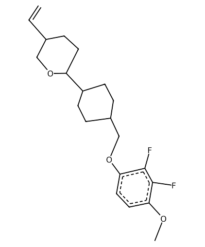 C=CC1CCC(C2CCC(COc3ccc(OC)c(F)c3F)CC2)OC1